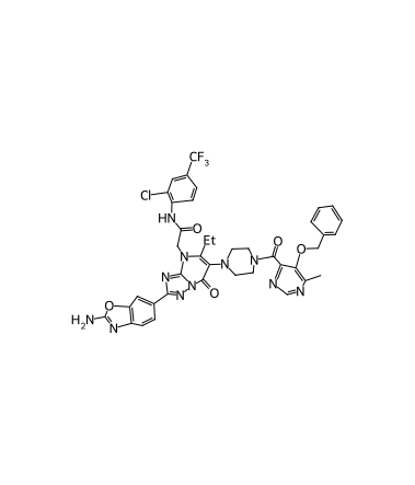 CCc1c(N2CCN(C(=O)c3ncnc(C)c3OCc3ccccc3)CC2)c(=O)n2nc(-c3ccc4nc(N)oc4c3)nc2n1CC(=O)Nc1ccc(C(F)(F)F)cc1Cl